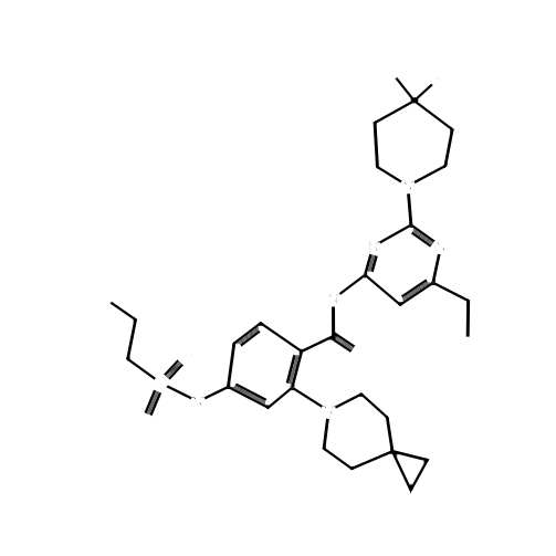 CCc1cc(NC(=O)c2ccc(NS(=O)(=O)CCO)cc2N2CCC3(CC2)CC3)nc(N2CCC(F)(F)CC2)n1